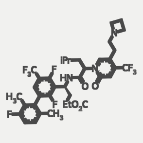 CCOC(=O)C[C@H](NC(=O)C(CC(C)C)n1cc(CCN2CCC2)c(C(F)(F)F)cc1=O)c1c(F)c(-c2c(C)ccc(F)c2C)cc(C(F)(F)F)c1F